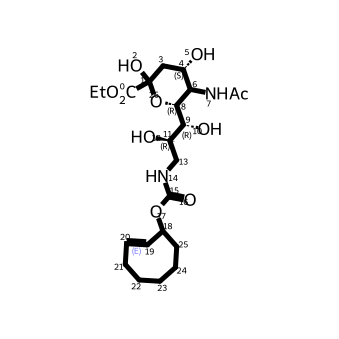 CCOC(=O)C1(O)C[C@H](O)C(NC(C)=O)[C@H]([C@H](O)[C@H](O)CNC(=O)OC2/C=C/CCCCC2)O1